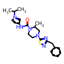 CC1CN(c2nc(Cc3ccccc3)ns2)CCN1C(=O)Nc1ccn(C(C)C)c1